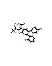 CC(C)(C)C(=O)c1oc2nc(-c3ccccc3Cl)c(-c3ccc(Cl)cc3)cc2c1C(N)=O